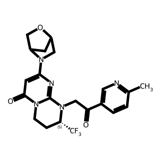 Cc1ccc(C(=O)CN2c3nc(N4CC5CC4CO5)cc(=O)n3CC[C@H]2C(F)(F)F)cn1